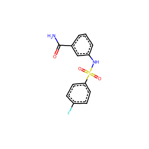 NC(=O)c1cccc(NS(=O)(=O)c2ccc(F)cc2)c1